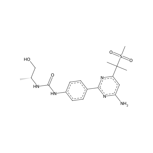 C[C@H](CO)NC(=O)Nc1ccc(-c2nc(N)cc(C(C)(C)S(C)(=O)=O)n2)cc1